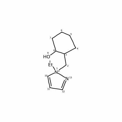 CC[N+]1(CC2CCCCC2O)C=CC=N1